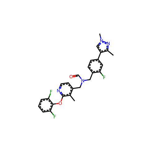 Cc1nn(C)cc1-c1ccc(CN(C=O)Cc2ccnc(Oc3c(F)cccc3F)c2C)c(F)c1